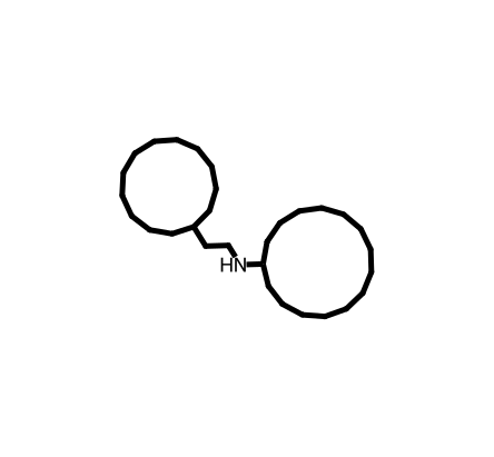 C1CCCCCCCC(NCCC2CCCCCCCCCCCC2)CCCCCC1